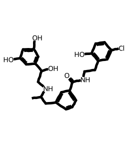 CC(Cc1cccc(C(=O)NCCc2cc(Cl)ccc2O)c1)NCC(O)c1cc(O)cc(O)c1